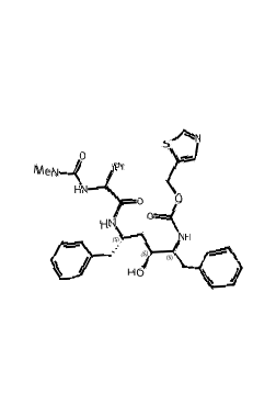 CNC(=O)NC(C(=O)N[C@@H](Cc1ccccc1)C[C@H](O)[C@H](Cc1ccccc1)NC(=O)OCc1cncs1)C(C)C